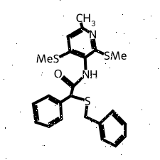 CSc1cc(C)nc(SC)c1NC(=O)C(SCc1ccccc1)c1ccccc1